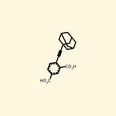 O=C(O)c1ccc(C#CC23CC4CC(CC(C4)C2)C3)c(C(=O)O)c1